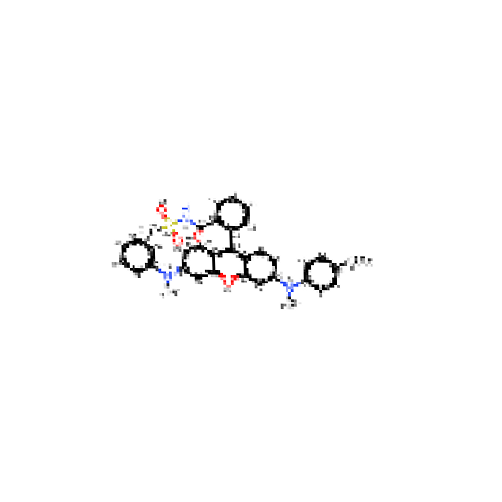 CC(=O)Oc1ccc(N(c2ccc3c(-c4ccccc4C(=O)NS(=O)(=O)C(F)(F)F)c4cc/c(=[N+](\c5ccccc5)C(C)C)cc-4oc3c2)C(C)C)cc1